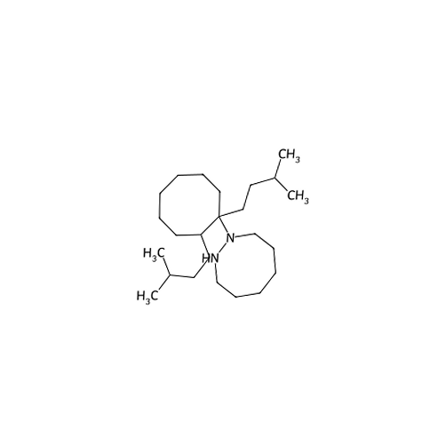 CC(C)CCC1CCCCCCC1(CCC(C)C)N1CCCCCCN1